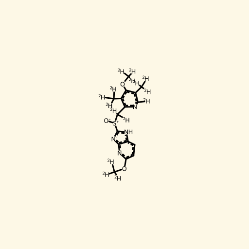 [2H]c1nc(C([2H])([2H])[S+]([O-])c2nc3nc(OC([2H])([2H])[2H])ccc3[nH]2)c(C([2H])([2H])[2H])c(OC([2H])([2H])[2H])c1C([2H])([2H])[2H]